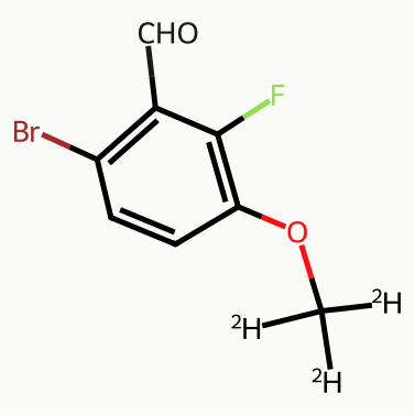 [2H]C([2H])([2H])Oc1ccc(Br)c(C=O)c1F